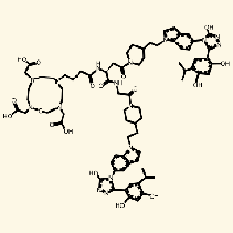 CC(C)c1cc(-c2nnc(O)n2-c2ccc3c(ccn3CCC3CCN(C(=O)CNC(=O)[C@H](CC(=O)N4CCC(CCn5ccc6cc(-n7c(O)nnc7-c7cc(C(C)C)c(O)cc7O)ccc65)CC4)NC(=O)CCCN4CCN(CC(=O)O)CCN(CC(=O)O)CCN(CC(=O)O)CC4)CC3)c2)c(O)cc1O